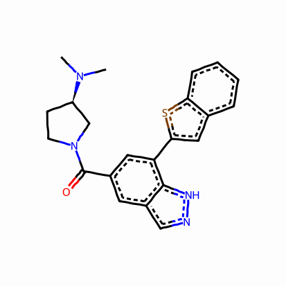 CN(C)[C@@H]1CCN(C(=O)c2cc(-c3cc4ccccc4s3)c3[nH]ncc3c2)C1